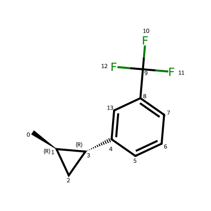 C[C@@H]1C[C@H]1c1cccc(C(F)(F)F)c1